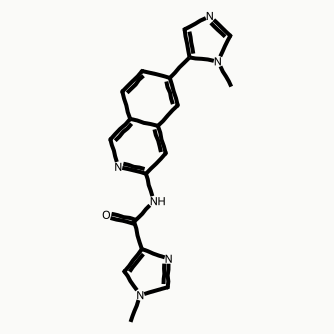 Cn1cnc(C(=O)Nc2cc3cc(-c4cncn4C)ccc3cn2)c1